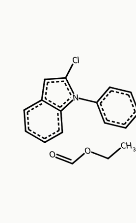 CCOC=O.Clc1cc2ccccc2n1-c1ccccc1